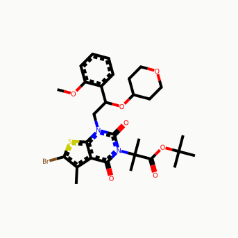 COc1ccccc1C(Cn1c(=O)n(C(C)(C)C(=O)OC(C)(C)C)c(=O)c2c(C)c(Br)sc21)OC1CCOCC1